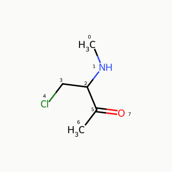 CNC(CCl)C(C)=O